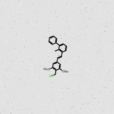 COc1cc(/C=C/c2cccc(-c3ccccc3)c2C)cc(OC)c1CCl